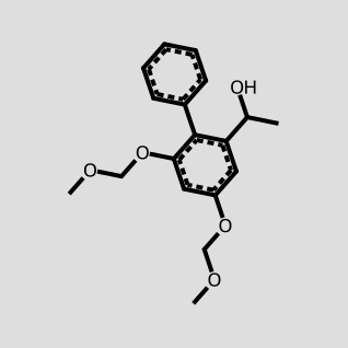 COCOc1cc(OCOC)c(-c2ccccc2)c(C(C)O)c1